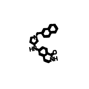 O=c1[nH]ccc2cc(NC3CCN(Cc4ccc5ccccc5c4)C3)ccc12